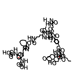 CCCC1O[C@@H]2CC3[C@@H]4CCC5=CC(=O)C=C[C@]5(C)C4[C@@H](O)C[C@]3(C)[C@]2(C(=O)CNC(=O)OCc2ccc(NC(=O)[C@H](CCCNC(N)=O)NC(=O)C(NC(=O)[C@H](N)CCCCNC(=O)COC3CCCCCc4c3nnn4CCN(CC(=O)NCS(=O)(=O)O)CC(=O)NCS(=O)(=O)O)C(C)C)cc2)O1